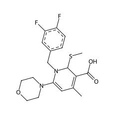 CSC1C(C(=O)O)=C(C)C=C(N2CCOCC2)N1Cc1ccc(F)c(F)c1